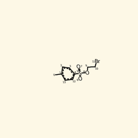 Cc1ccc(S(=O)(=O)OCCBr)cc1